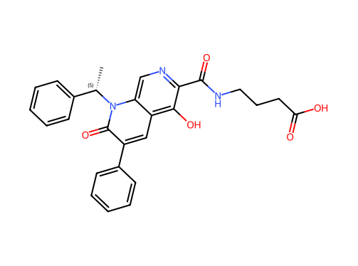 C[C@@H](c1ccccc1)n1c(=O)c(-c2ccccc2)cc2c(O)c(C(=O)NCCCC(=O)O)ncc21